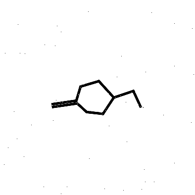 [CH2]CC1CCC(=C)CC1